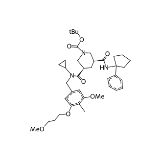 COCCCOc1cc(CN(C(=O)[C@@H]2C[C@H](C(=O)NC3(c4ccccc4)CCCC3)CN(C(=O)OC(C)(C)C)C2)C2CC2)cc(OC)c1C